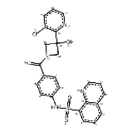 O=C(c1ccc(NS(=O)(=O)c2cccc3cccnc23)cc1)N1CC(O)(c2ncccc2Cl)C1